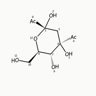 CC(=O)[C@@]1(O)C[C@](O)(C(C)=O)[C@H](O)[C@@H](CO)O1